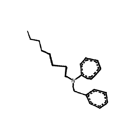 CCCCCCCCN(Cc1ccccc1)c1ccccc1